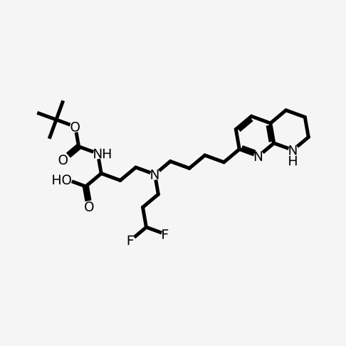 CC(C)(C)OC(=O)NC(CCN(CCCCc1ccc2c(n1)NCCC2)CCC(F)F)C(=O)O